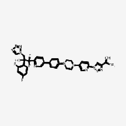 OC(c1cn(-c2ccc(N3CCN(c4ccc(-c5ccc(C(F)(F)C(O)(Cn6cnnn6)c6ccc(F)cc6F)nc5)cc4)CC3)cn2)nn1)C(F)(F)F